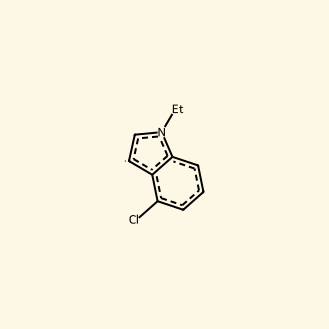 CCn1c[c]c2c(Cl)cccc21